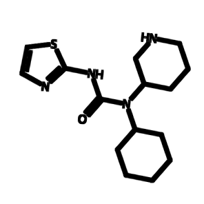 O=C(Nc1nccs1)N(C1CCCCC1)C1CCCNC1